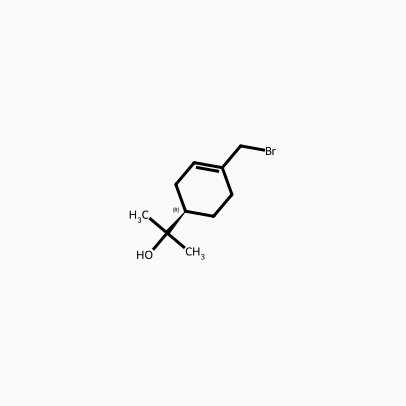 CC(C)(O)[C@H]1CC=C(CBr)CC1